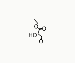 CCOC(=O)[C@@H](O)C=O